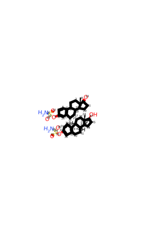 C[C@]12CCC3c4ccc(OS(N)(=O)=O)cc4CCC3C1CCC2=O.C[C@]12CC[C@@H]3c4ccc(OS(N)(=O)=O)cc4CC[C@H]3[C@@H]1CC[C@@H]2O